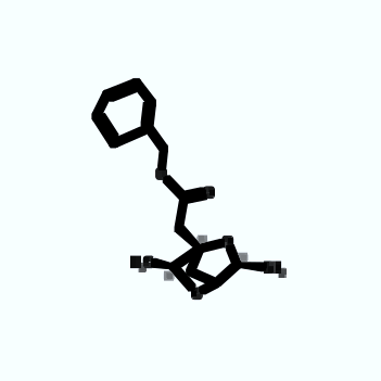 B[C@@H]1O[C@]2(CC(=O)OCc3ccccc3)CC1O[C@H]2C